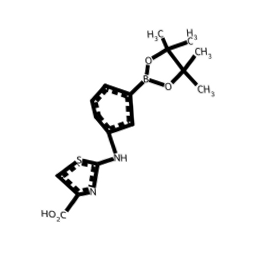 CC1(C)OB(c2cccc(Nc3nc(C(=O)O)cs3)c2)OC1(C)C